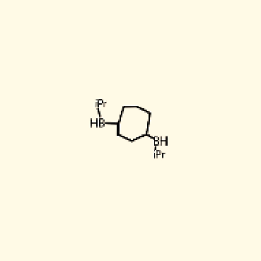 CC(C)BC1CCCC(BC(C)C)CC1